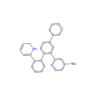 CC(C)(C)c1ccnc(-c2cc(-c3ccccc3)ccc2-c2ccccc2C2=CC=CCN2)c1